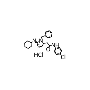 Cl.O=C(CC1CSC(=NC2CCCCC2)N1Cc1ccccc1)Nc1ccc(Cl)cc1